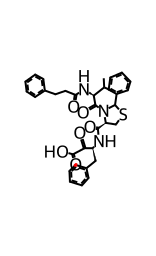 CC(C)[C@H](NC(=O)CCc1ccccc1)C(=O)N1C(c2ccccc2)SC[C@H]1C(=O)N[C@@H](Cc1ccccc1)C(=O)C(=O)O